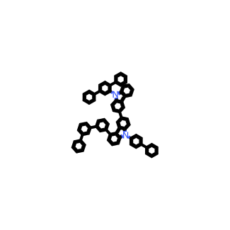 c1ccc(-c2ccc(-n3c4ccc(-c5ccc6c(c5)c5ccccc5n6-c5cc(-c6ccccc6)ccc5-c5ccccc5)cc4c4c(-c5cccc(-c6cccc(-c7ccccc7)c6)c5)cccc43)cc2)cc1